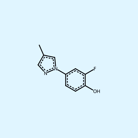 Cc1cnn(-c2ccc(O)c(F)c2)c1